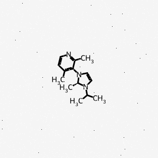 Cc1ccnc(C)c1N1C=CN(C(C)C)[C@H]1C